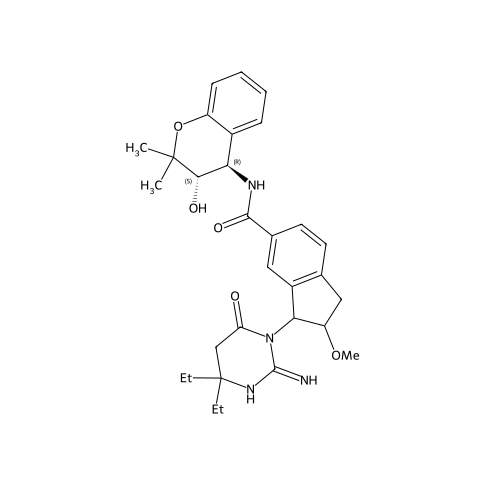 CCC1(CC)CC(=O)N(C2c3cc(C(=O)N[C@@H]4c5ccccc5OC(C)(C)[C@H]4O)ccc3CC2OC)C(=N)N1